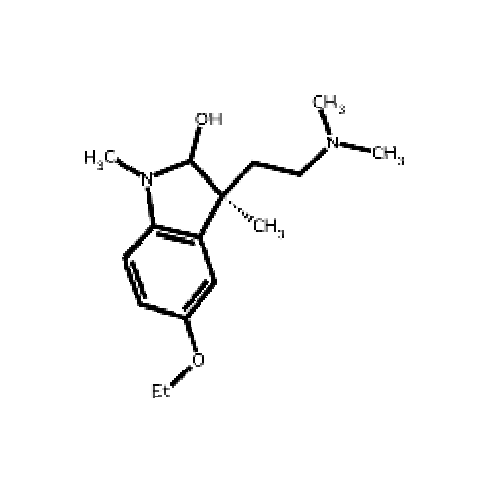 CCOc1ccc2c(c1)[C@](C)(CCN(C)C)C(O)N2C